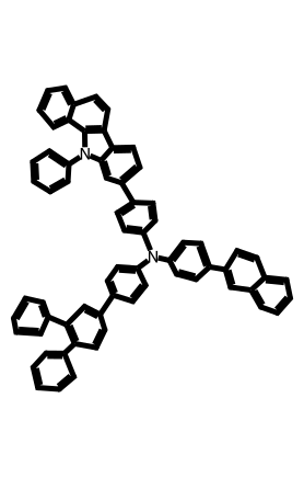 c1ccc(-c2ccc(-c3ccc(N(c4ccc(-c5ccc6ccccc6c5)cc4)c4ccc(-c5ccc6c7ccc8ccccc8c7n(-c7ccccc7)c6c5)cc4)cc3)cc2-c2ccccc2)cc1